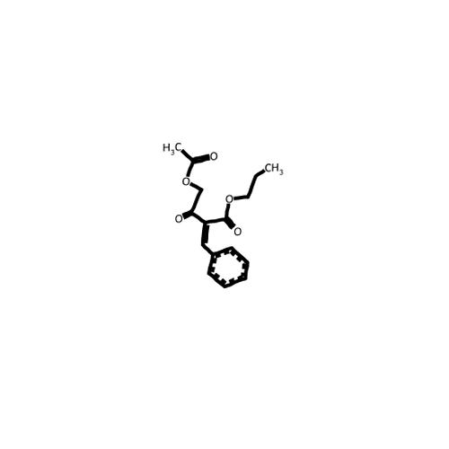 CCCOC(=O)C(=Cc1ccccc1)C(=O)COC(C)=O